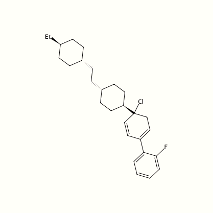 CC[C@H]1CC[C@H](CC[C@H]2CC[C@H](C3(Cl)C=CC(c4ccccc4F)=CC3)CC2)CC1